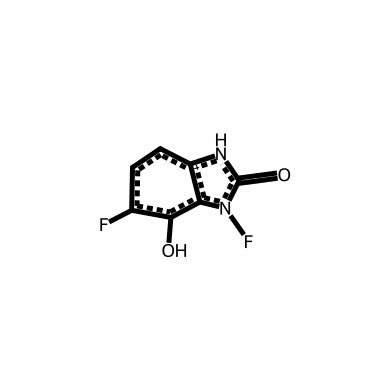 O=c1[nH]c2ccc(F)c(O)c2n1F